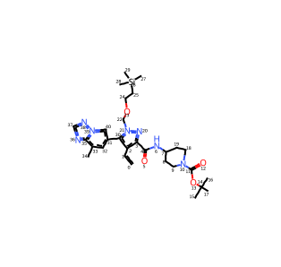 C=Cc1c(C(=O)NC2CCN(C(=O)OC(C)(C)C)CC2)nn(COCC[Si](C)(C)C)c1-c1cc(C)c2ncnn2c1